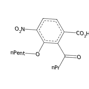 CCCCCOc1c([N+](=O)[O-])ccc(C(=O)O)c1C(=O)CCC